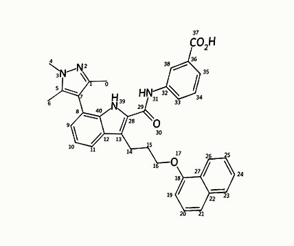 Cc1nn(C)c(C)c1-c1cccc2c(CCCOc3cccc4ccccc34)c(C(=O)Nc3cccc(C(=O)O)c3)[nH]c12